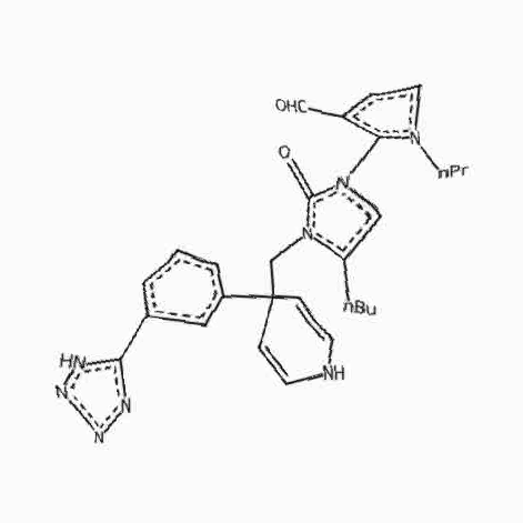 CCCCc1cn(-c2c(C=O)ccn2CCC)c(=O)n1CC1(c2cccc(-c3nnn[nH]3)c2)C=CNC=C1